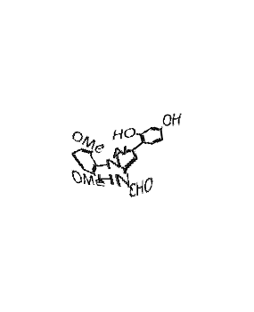 COc1cccc(OC)c1-n1nc(-c2ccc(O)cc2O)cc1NC=O